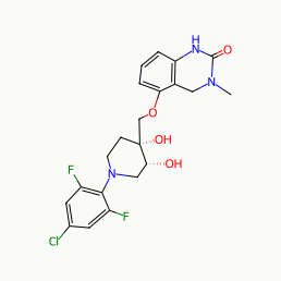 CN1Cc2c(cccc2OC[C@]2(O)CCN(c3c(F)cc(Cl)cc3F)C[C@H]2O)NC1=O